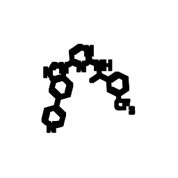 CC(Nc1nccc(-n2cnc3cc(-c4ccncc4)ccc32)n1)c1cccc(C(F)(F)F)c1